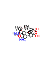 CC(C)c1cccc(C(C)C)c1-c1c(C(N)=O)c2c(C(N)=O)ccc3c4ccc(C(=O)O)c5c(C(=O)O)ccc(c(c1-c1c(C(C)C)cccc1C(C)C)c23)c54